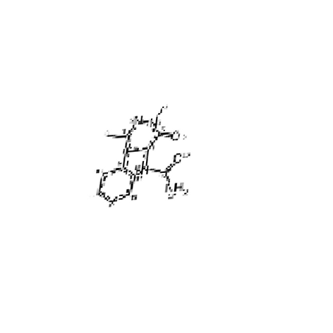 Cc1nn(C)c(=O)c2c1c1ccccc1n2C(N)=O